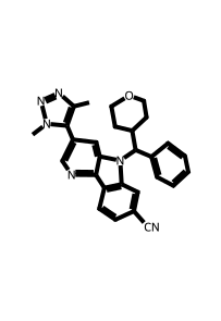 Cc1nnn(C)c1-c1cnc2c3ccc(C#N)cc3n(C(c3ccccc3)C3CCOCC3)c2c1